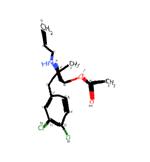 C=CCNC(C)([CH]OC(C)=O)Cc1ccc(Cl)c(Cl)c1